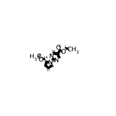 CCOC(=O)c1cnc(N2CCC[C@@H]2COC)nc1